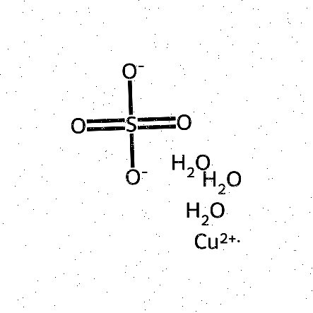 O.O.O.O=S(=O)([O-])[O-].[Cu+2]